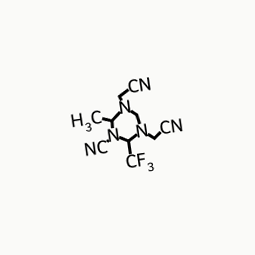 CC1N(CC#N)CN(CC#N)C(C(F)(F)F)N1C#N